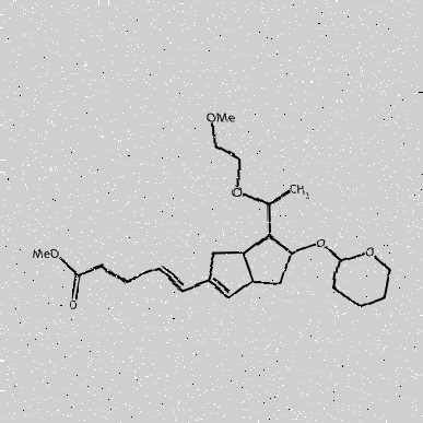 COCCOC(C)C1C(OC2CCCCO2)CC2C=C(C=CCCC(=O)OC)CC21